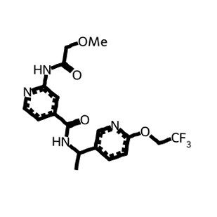 COCC(=O)Nc1cc(C(=O)NC(C)c2ccc(OCC(F)(F)F)nc2)ccn1